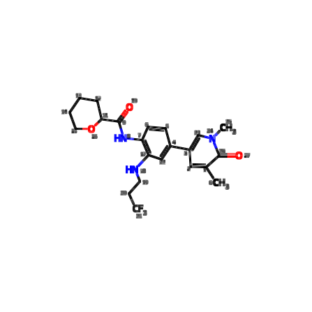 Cc1cc(-c2ccc(NC(=O)C3CCCCO3)c(NCCC(F)(F)F)c2)cn(C)c1=O